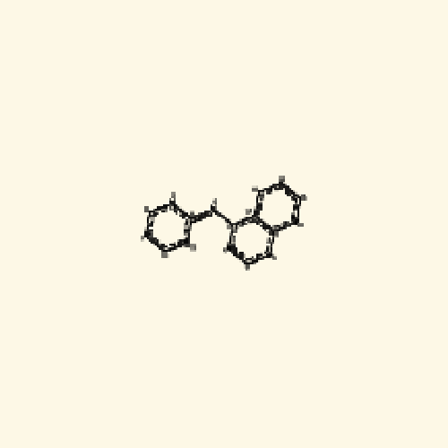 c1cnc(=Nc2cccc3ccccc23)sc1